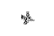 Cc1cc(C)n(-c2nc(C3COCCC3=O)cc(N(C(=O)OC(C)(C)C)C3CCC(F)(F)CC3)n2)n1